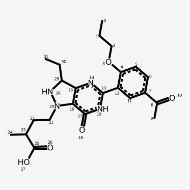 CCCOc1ccc(C(C)=O)cc1-c1nc2c(c(=O)[nH]1)N(CCC(C)C(=O)O)NC2CC